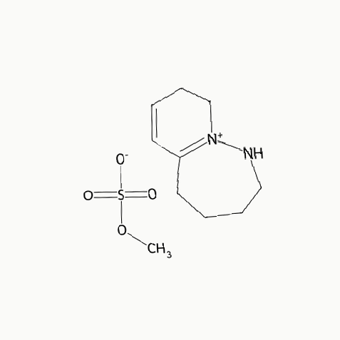 C1=CC2=[N+](CC1)NCCCC2.COS(=O)(=O)[O-]